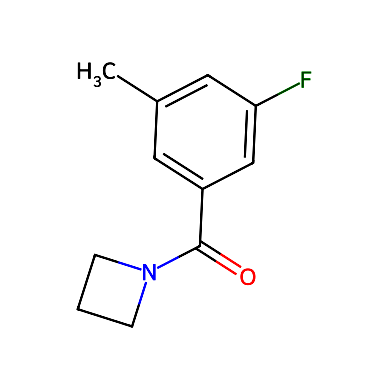 Cc1cc(F)cc(C(=O)N2CCC2)c1